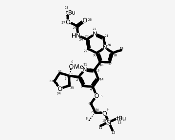 CO[C@@]1(c2cc(OC[C@@H](C)O[Si](C)(C)C(C)(C)C)cc(-c3cc(C)n4cnc(NC(=O)OC(C)(C)C)cc34)n2)CCOC1